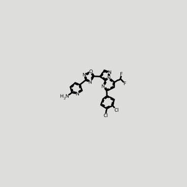 Nc1ccc(-c2noc(-c3cnn4c(C(F)F)cc(-c5ccc(Cl)c(Cl)c5)nc34)n2)cn1